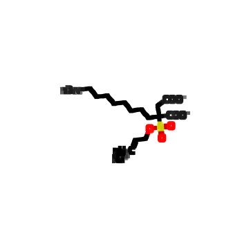 C=CCOS(=O)(=O)C(CCCCCCCCCCCCCCCCCC)(CC(=O)[O-])C(=O)[O-].[Na+].[Na+]